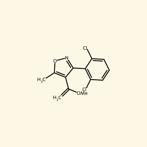 C=C(OC)c1c(-c2c(Cl)cccc2Cl)noc1C